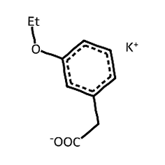 CCOc1cccc(CC(=O)[O-])c1.[K+]